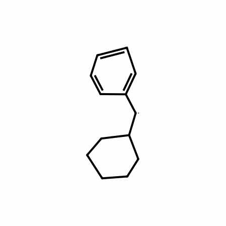 [CH](c1ccccc1)C1CCCCC1